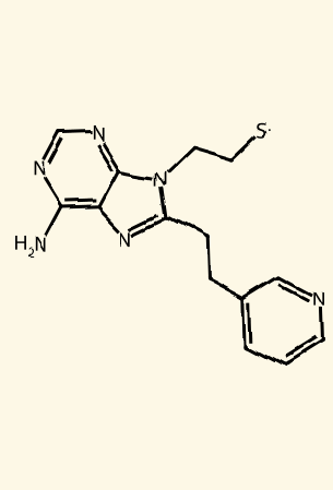 Nc1ncnc2c1nc(CCc1cccnc1)n2CC[S]